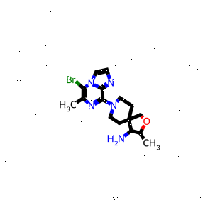 Cc1nc(N2CCC3(CC2)COC(C)C3N)c2nccn2c1Br